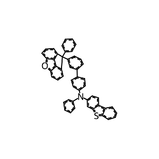 c1ccc(N(c2ccc(-c3cccc(C4(c5ccccc5)c5cccc6oc7cccc4c7c56)c3)cc2)c2ccc3c(c2)sc2ccccc23)cc1